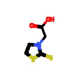 O=C(O)Cn1ccsc1=S